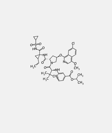 C=CC1CC1(NC(=O)[C@@H]1C[C@@H](Oc2ncc(OC)c3ccc(Cl)cc23)CN1C(=O)[C@@H](Nc1cccc(C(=O)OC(C)C)c1)C(C)(C)C)C(=O)NS(=O)(=O)C1CC1